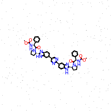 COC(=O)N[C@@H](C(=O)N1CCC[C@H]1c1nc2cc(-c3ncc(-c4ccc5nc([C@@H]6CCCN6C(=O)[C@H](NC(=O)OC)c6ccccc6)[nH]c5c4)cn3)ccc2[nH]1)c1ccccc1